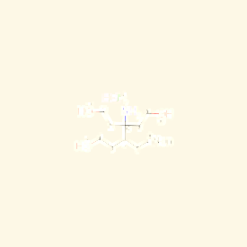 CCCCCCCCCCC(CCO)C(N)(CCO)CCO.Cl